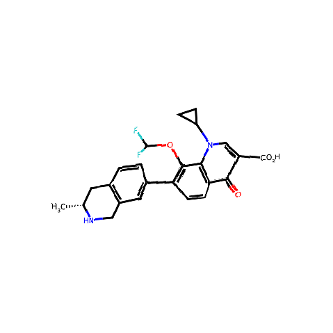 C[C@@H]1Cc2ccc(-c3ccc4c(=O)c(C(=O)O)cn(C5CC5)c4c3OC(F)F)cc2CN1